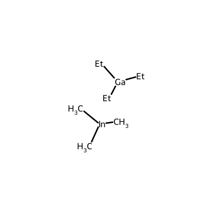 C[CH2][Ga]([CH2]C)[CH2]C.[CH3][In]([CH3])[CH3]